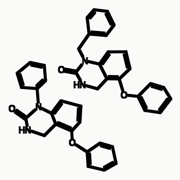 O=C1NCc2c(Oc3ccccc3)cccc2N1Cc1ccccc1.O=C1NCc2c(Oc3ccccc3)cccc2N1c1ccccc1